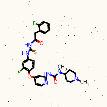 CN1CCC(N(C)C(=O)Nc2cc(Oc3ccc(NC(=S)NC(=O)Cc4ccccc4F)cc3F)ccn2)CC1